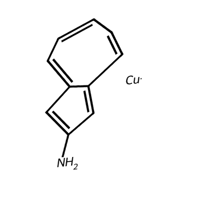 Nc1cc2cccccc-2c1.[Cu]